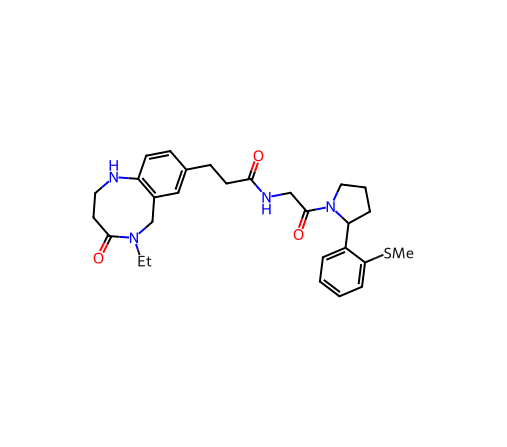 CCN1Cc2cc(CCC(=O)NCC(=O)N3CCCC3c3ccccc3SC)ccc2NCCC1=O